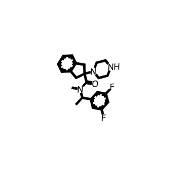 CC(c1cc(F)cc(F)c1)N(C)C(=O)C1(N2CCNCC2)Cc2ccccc2C1